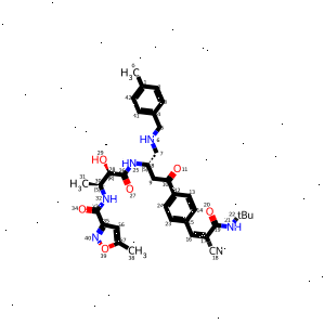 Cc1ccc(CNC[C@H](CC(=O)c2ccc(C=C(C#N)C(=O)NC(C)(C)C)cc2)NC(=O)[C@H](O)[C@H](C)NC(=O)c2cc(C)on2)cc1